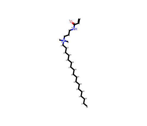 C=CC(=O)NCCC[N+](C)(C)CCCCCCCCCCCCCCCCCC